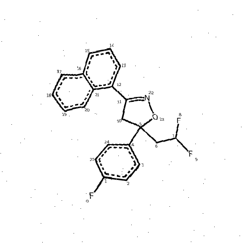 Fc1ccc(C2(CC(F)F)CC(c3cccc4ccccc34)=NO2)cc1